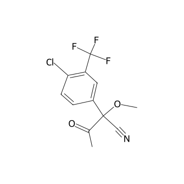 COC(C#N)(C(C)=O)c1ccc(Cl)c(C(F)(F)F)c1